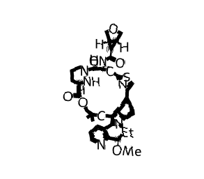 CCn1c(-c2cccnc2[C@H](C)OC)c2c3cc(ccc31)-c1csc(n1)C[C@H](NC(=O)[C@H]1[C@@H]3COC[C@@H]31)C(=O)N1CCC[C@H](N1)C(=O)OCC(C)(C)C2